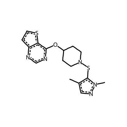 Cc1cnn(C)c1SN1CCC(Oc2ncnc3ccsc23)CC1